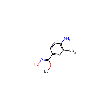 CCOC(=NO)c1ccc(N)c([N+](=O)[O-])c1